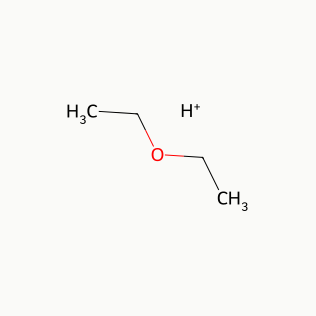 CCOCC.[H+]